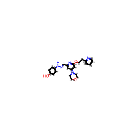 Oc1ccc(N/N=C/c2cc(N3CCOCC3)cc(OCCc3ccccn3)n2)cc1